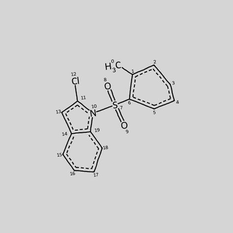 Cc1ccccc1S(=O)(=O)n1c(Cl)cc2ccccc21